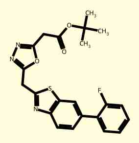 CC(C)(C)OC(=O)Cc1nnc(Cc2nc3ccc(-c4ccccc4F)cc3s2)o1